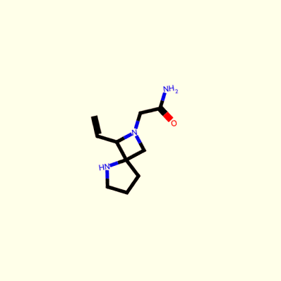 C=CC1N(CC(N)=O)CC12CCCN2